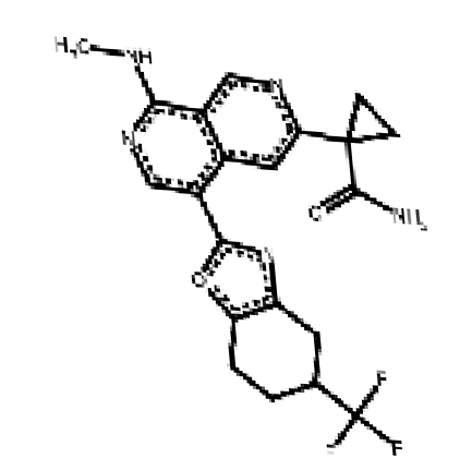 CNc1ncc(-c2nc3c(o2)CCC(C(F)(F)F)C3)c2cc(C3(C(N)=O)CC3)ncc12